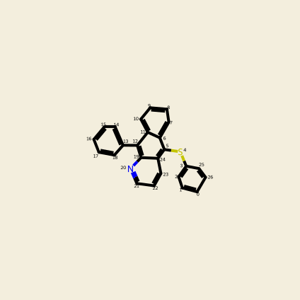 c1ccc(Sc2c3ccccc3c(-c3ccccc3)c3ncccc23)cc1